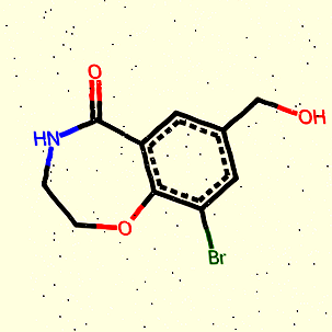 O=C1NCCOc2c(Br)cc(CO)cc21